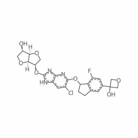 O[C@@H]1CO[C@H]2[C@@H]1OC[C@H]2Oc1nc2nc(OC3CCc4cc(C5(O)COC5)cc(F)c43)c(Cl)cc2[nH]1